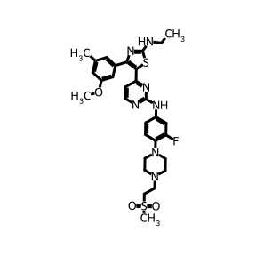 CCNc1nc(-c2cc(C)cc(OC)c2)c(-c2ccnc(Nc3ccc(N4CCN(CCS(C)(=O)=O)CC4)c(F)c3)n2)s1